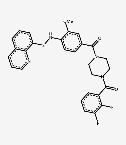 COc1cc(C(=O)N2CCN(C(=O)c3cccc(F)c3F)CC2)ccc1NSc1cccc2cccnc12